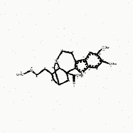 COC(=O)C12CC3CC(CCOC=O)C1N(CCc1c2[nH]c2cc(OC)c(OC)cc12)C3